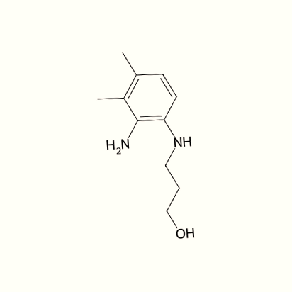 Cc1ccc(NCCCO)c(N)c1C